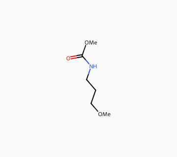 COCCCNC(=O)OC